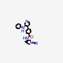 N#CN1CC2C[C@]2(NC(=O)c2ccc(-c3ccncc3Nc3ccccc3)cc2)C1